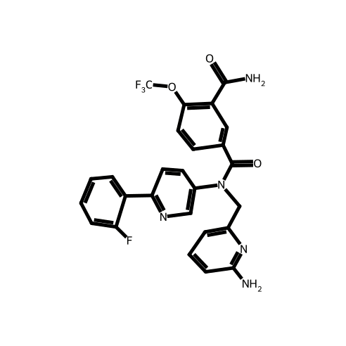 NC(=O)c1cc(C(=O)N(Cc2cccc(N)n2)c2ccc(-c3ccccc3F)nc2)ccc1OC(F)(F)F